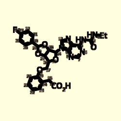 CCNC(=O)Nc1ncnc2c1ncn2C1OC(COc2ccccc2CC(=O)O)C2OC(c3ccc(F)cc3)OC21